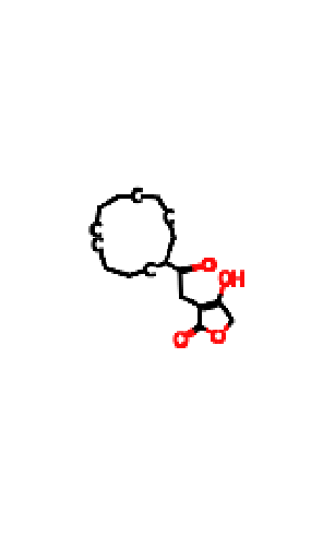 O=C1OCC(O)=C1CC(=O)C1CCCCCCCCCCC1